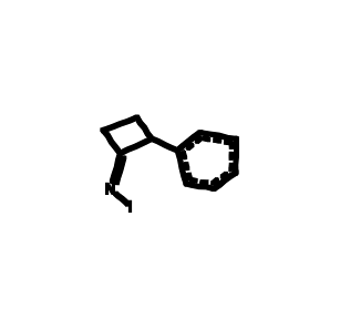 I/N=C1/CCC1c1ccccc1